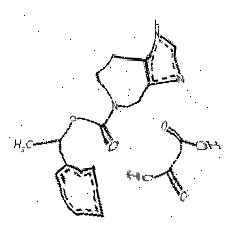 CC(OC(=O)N1CCc2[nH]cnc2C1)c1ccccc1.O=C(O)C(=O)O